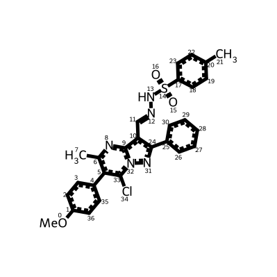 COc1ccc(-c2c(C)nc3c(/C=N/NS(=O)(=O)c4ccc(C)cc4)c(-c4ccccc4)nn3c2Cl)cc1